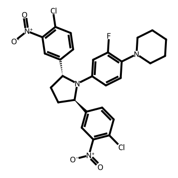 O=[N+]([O-])c1cc([C@H]2CC[C@H](c3ccc(Cl)c([N+](=O)[O-])c3)N2c2ccc(N3CCCCC3)c(F)c2)ccc1Cl